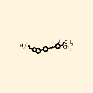 C=CCC1=Cc2ccc(-c3ccc(C#Cc4ccc(C(C)CC)c(I)c4)cc3)cc2C1